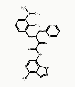 Cc1c(CN(Cc2ccccn2)C(=O)C(=O)Nc2cnc(N)c3cn[nH]c23)cccc1N(C)C